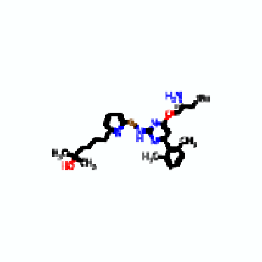 Cc1cccc(C)c1-c1cc(OC[C@H](N)CC(C)(C)C)nc(NSc2cccc(CCCCC(C)(C)O)n2)n1